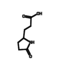 O=C(O)CCC1CCC(=O)N1